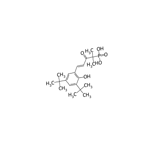 CC(C)(C)c1cc(/C=C/C(=O)C(C)(C)P(=O)(O)O)c(O)c(C(C)(C)C)c1